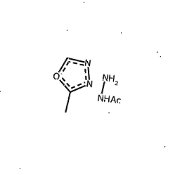 CC(=O)NN.Cc1nnco1